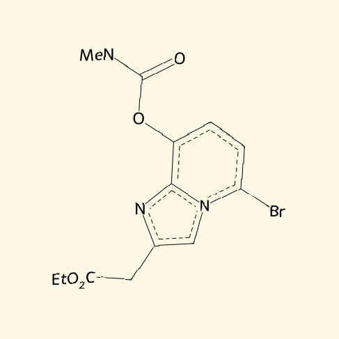 CCOC(=O)Cc1cn2c(Br)ccc(OC(=O)NC)c2n1